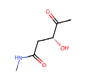 CNC(=O)C[C@@H](O)C(C)=O